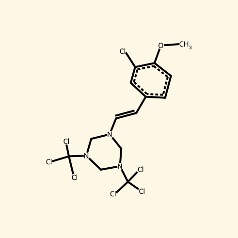 COc1ccc(C=CN2CN(C(Cl)(Cl)Cl)CN(C(Cl)(Cl)Cl)C2)cc1Cl